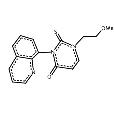 COCCn1ccc(=O)n(-c2cccc3cccnc23)c1=S